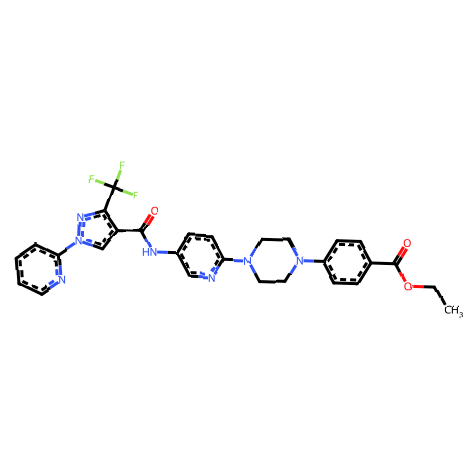 CCOC(=O)c1ccc(N2CCN(c3ccc(NC(=O)c4cn(-c5ccccn5)nc4C(F)(F)F)cn3)CC2)cc1